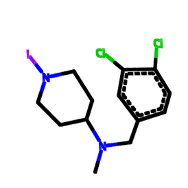 CN(Cc1ccc(Cl)c(Cl)c1)C1CCN(I)CC1